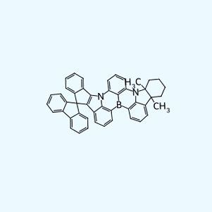 CC12CCCCC1(C)N1c3cccc4c3B(c3cccc2c31)c1cccc2c3c(n-4c12)-c1ccccc1C31c2ccccc2-c2ccccc21